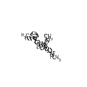 Cc1cc(-c2nc(C(=O)N3CCC(NC4CCOCC4C)CC3)c(C)c(N3CCc4cc(C(C)(F)F)ccc4C3)n2)no1